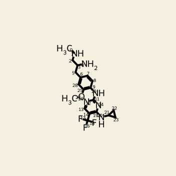 CNCC(N)Cc1ccc(Nc2ncc(C(F)(F)F)c(NC3CC3)n2)c(OC)c1